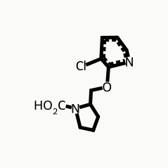 O=C(O)N1CCCC1COc1ncccc1Cl